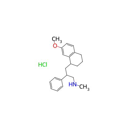 CNCC(CC1CCCc2ccc(OC)cc21)c1ccccc1.Cl